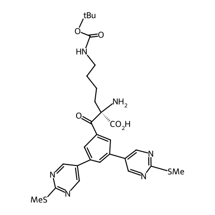 CSc1ncc(-c2cc(C(=O)[C@](N)(CCCCNC(=O)OC(C)(C)C)C(=O)O)cc(-c3cnc(SC)nc3)c2)cn1